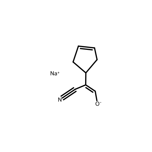 N#C/C(=C\[O-])C1CC=CC1.[Na+]